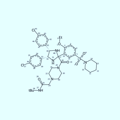 CCOc1ccc(S(=O)(=O)N2CCCCC2)cc1C1(C(=O)N2CCN(CC(=O)NC(C)(C)C)CC2)N[C@H](c2ccc(Cl)cc2)[C@H](c2ccc(Cl)cc2)N1